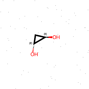 O[C@@H]1C[C@H]1O